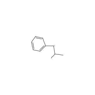 CC(C)[C]c1ccccc1